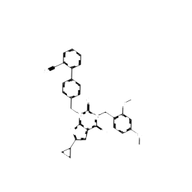 COc1ccc(Cn2c(=O)c3cc(C4CC4)sc3n(Cc3ccc(-c4ccccc4C#N)cc3)c2=O)c(OC)c1